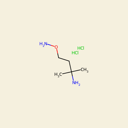 CC(C)(N)CCON.Cl.Cl